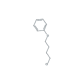 ClCCCCOc1[c]cccc1